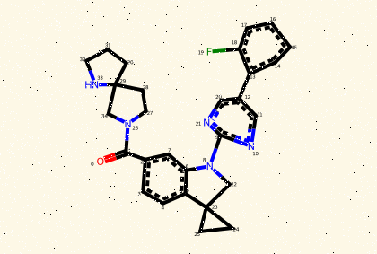 O=C(c1ccc2c(c1)N(c1ncc(-c3ccccc3F)cn1)CC21CC1)N1CCC2(CCCN2)C1